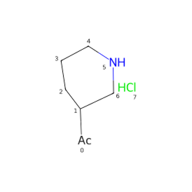 CC(=O)C1CCCNC1.Cl